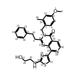 COc1ccc(Cn2c(CCc3ccccc3)nc3c(-c4csc(NCCO)n4)nccc3c2=O)c(C)c1